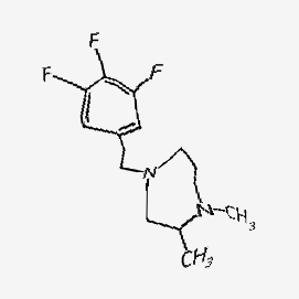 CC1CN(Cc2cc(F)c(F)c(F)c2)CCN1C